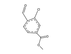 COC(=O)c1ccc(C=O)c(Cl)c1